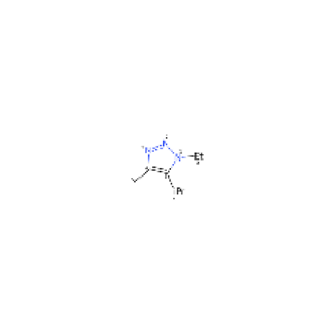 CCn1nnc(C)c1C(C)C